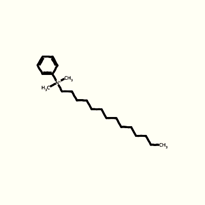 CCCCCCCCCCCCCC[N+](C)(C)c1ccccc1